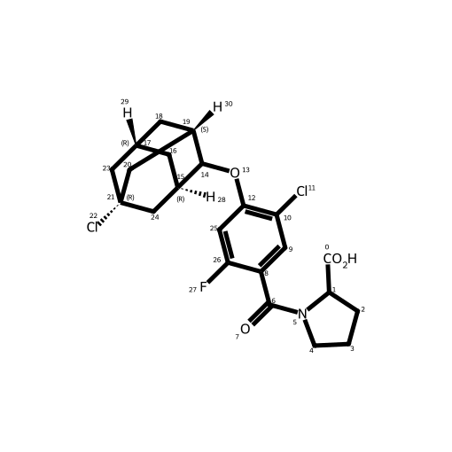 O=C(O)C1CCCN1C(=O)c1cc(Cl)c(OC2[C@@H]3C[C@H]4C[C@H]2C[C@](Cl)(C4)C3)cc1F